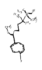 CO[C@@H](CCC(C)(C)[Si](C)(C)O)c1ccc(Br)cc1